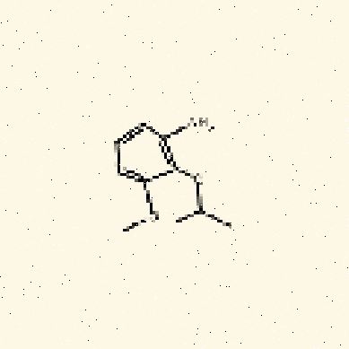 COc1cccc(N)c1OC(C)C